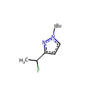 CC(F)c1ccn(C(C)(C)C)n1